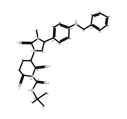 CN1C(=O)N(C2CCC(=O)N(C(=O)OC(C)(C)C)C2=O)CC1c1ccc(OCc2ccccc2)cc1